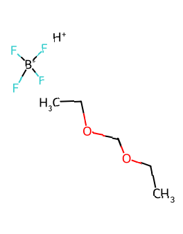 CCOCOCC.F[B-](F)(F)F.[H+]